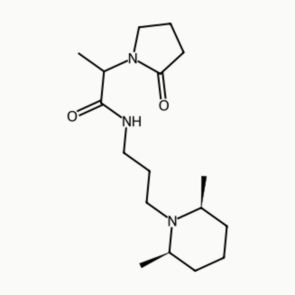 CC(C(=O)NCCCN1[C@H](C)CCC[C@@H]1C)N1CCCC1=O